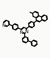 CC1C=Cc2c(c(-c3ccc(-c4cc(-c5ccc(-c6cccnc6)cc5)nc(-c5cccc(-c6ccccc6)c5)n4)cc3)cc3ccccc23)C1